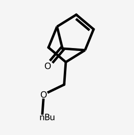 CCCCOCC1CC2C=CC1C2=O